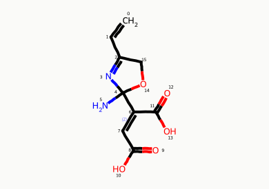 C=CC1=NC(N)(/C(=C/C(=O)O)C(=O)O)OC1